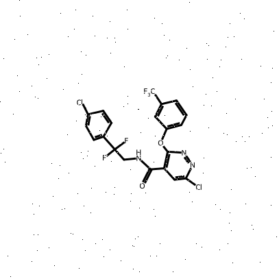 O=C(NCC(F)(F)c1ccc(Cl)cc1)c1cc(Cl)nnc1Oc1cccc(C(F)(F)F)c1